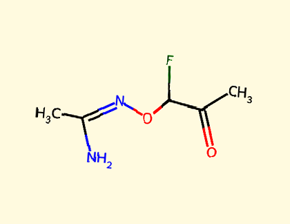 CC(=O)C(F)ON=C(C)N